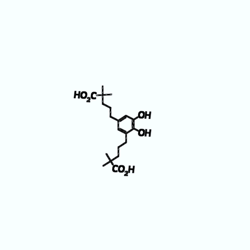 CC(C)(CCCc1cc(O)c(O)c(CCCC(C)(C)C(=O)O)c1)C(=O)O